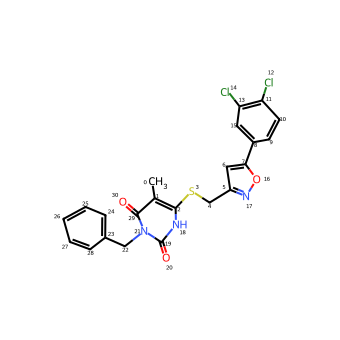 Cc1c(SCc2cc(-c3ccc(Cl)c(Cl)c3)on2)[nH]c(=O)n(Cc2ccccc2)c1=O